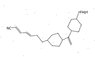 C=C(C1CCC(CCC=CC=CC#N)CC1)C1CCC(CCCCCCC)CC1